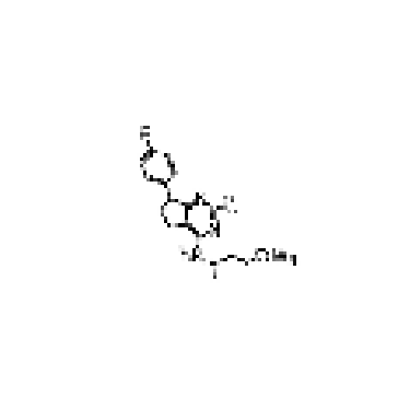 COCC[C@@H](C)Nc1nc(Cl)nc2c1CCC2c1ccc(F)cc1